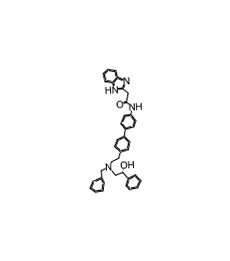 O=C(Cc1nc2ccccc2[nH]1)Nc1ccc(-c2ccc(CCN(Cc3ccccc3)C[C@H](O)c3ccccc3)cc2)cc1